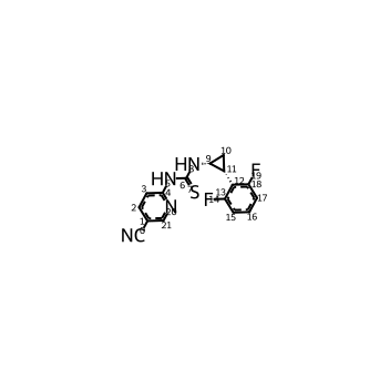 N#Cc1ccc(NC(=S)N[C@@H]2C[C@@H]2c2c(F)cccc2F)nc1